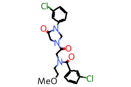 COCCN(CC(=O)N1CC(=O)N(c2cccc(Cl)c2)C1)C(=O)c1cccc(Cl)c1